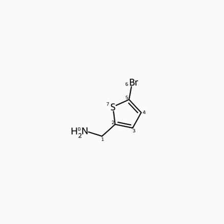 NCc1ccc(Br)s1